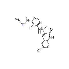 C=N/C=C\N(C)c1ccnc(N[C@@H](C)c2cc3cc(Cl)ccc3[nH]c2=O)c1F